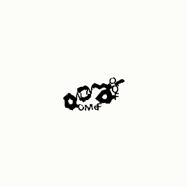 COc1ccccc1N1CCN(CCCC2(c3ccc(F)cc3F)OC(C)O2)CC1